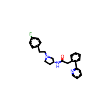 O=C(Cc1ccccc1-c1ccccn1)N[C@H]1CCN(CCc2ccc(F)cc2)C1